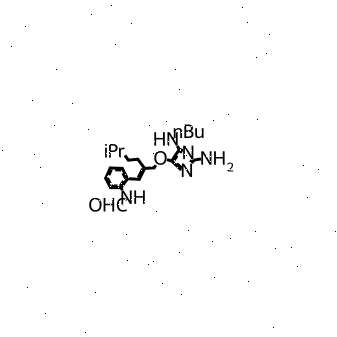 CCCCNc1nc(N)ncc1OC/C(=C/c1ccccc1NC=O)CCC(C)C